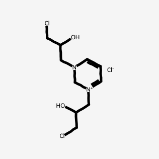 OC(CCl)CN1C=CC=[N+](CC(O)CCl)C1.[Cl-]